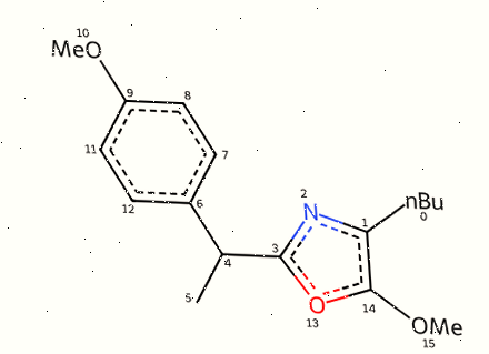 CCCCc1nc(C(C)c2ccc(OC)cc2)oc1OC